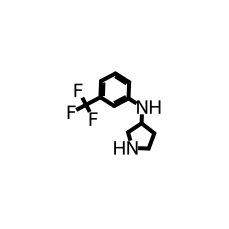 FC(F)(F)c1cccc(NC2CCNC2)c1